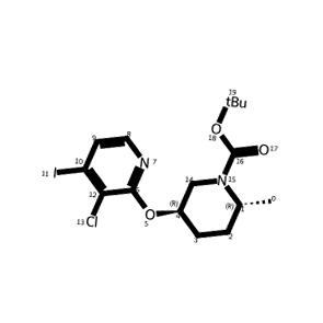 C[C@@H]1CC[C@@H](Oc2nccc(I)c2Cl)CN1C(=O)OC(C)(C)C